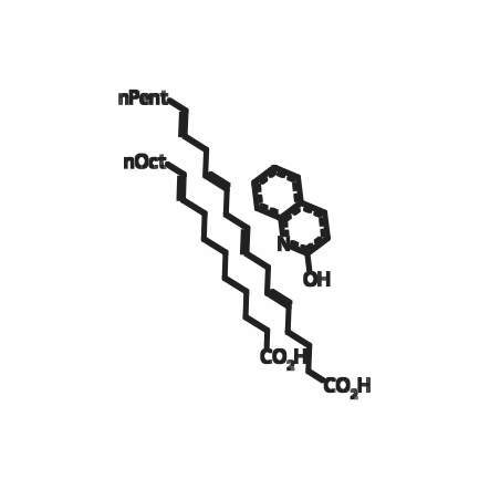 CCCCCC=CCC=CCC=CCC=CCCCC(=O)O.CCCCCCCCC=CCCCCCCCC(=O)O.Oc1ccc2ccccc2n1